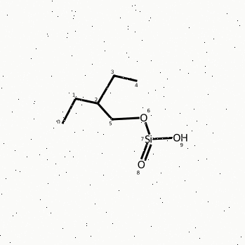 CCC(CC)CO[Si](=O)O